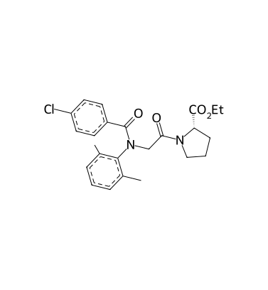 CCOC(=O)[C@@H]1CCCN1C(=O)CN(C(=O)c1ccc(Cl)cc1)c1c(C)cccc1C